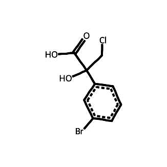 O=C(O)C(O)(CCl)c1cccc(Br)c1